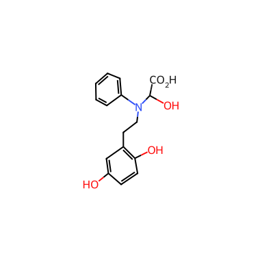 O=C(O)C(O)N(CCc1cc(O)ccc1O)c1ccccc1